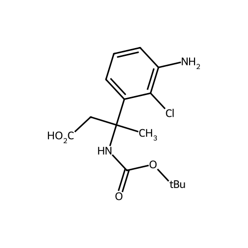 CC(C)(C)OC(=O)NC(C)(CC(=O)O)c1cccc(N)c1Cl